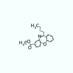 CCCCC1=Nc2cc(C(=O)OC)ccc2Oc2ccccc21